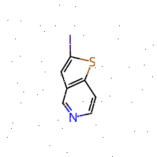 Ic1cc2cnccc2s1